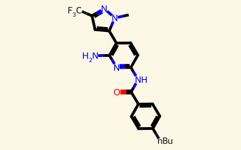 CCCCc1ccc(C(=O)Nc2ccc(-c3cc(C(F)(F)F)nn3C)c(N)n2)cc1